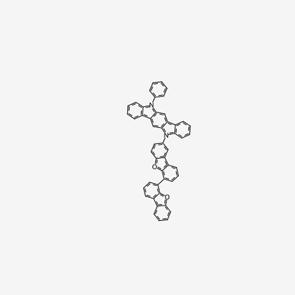 c1ccc(-n2c3ccccc3c3cc4c(cc32)c2ccccc2n4-c2ccc3oc4c(-c5cccc6c5oc5ccccc56)cccc4c3c2)cc1